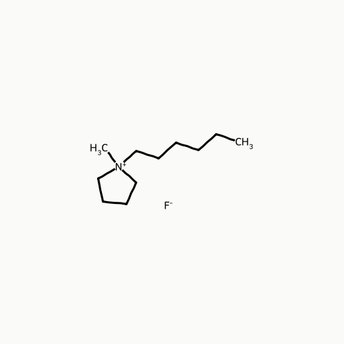 CCCCCC[N+]1(C)CCCC1.[F-]